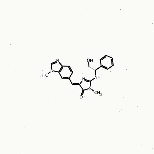 CN1C(=O)/C(=C/c2ccc3ncn(C)c3c2)N=C1N[C@H](CO)c1ccccc1